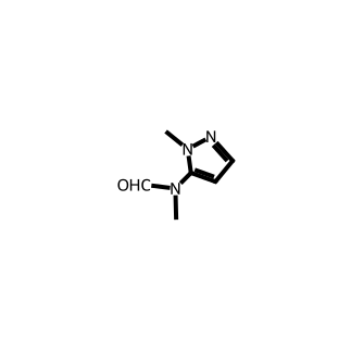 CN(C=O)c1ccnn1C